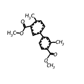 COC(=O)c1ccc(-c2ccc(C)c(C(=O)OC)c2)cc1C